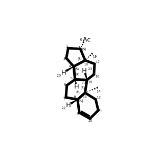 CC(=O)[C@H]1CC[C@H]2[C@@H]3CC[C@H]4C=CCC[C@]4(C)[C@H]3CC[C@]12C